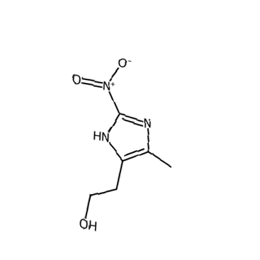 Cc1nc([N+](=O)[O-])[nH]c1CCO